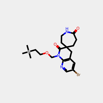 C[Si](C)(C)CCOCN1C(=O)C2(CCNC(=O)CC2)Cc2cc(Br)cnc21